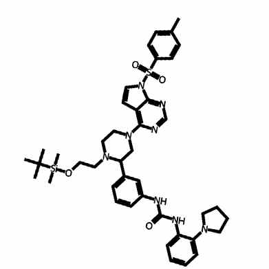 Cc1ccc(S(=O)(=O)n2ccc3c(N4CCN(CCO[Si](C)(C)C(C)(C)C)C(c5cccc(NC(=O)Nc6ccccc6N6CCCC6)c5)C4)ncnc32)cc1